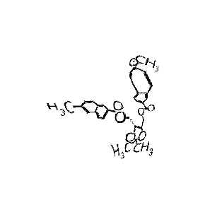 COc1ccc2cc(C(=O)OC[C@H]3OC(C)(C)O[C@@H]3COC(=O)c3ccc4cc(C)ccc4c3)ccc2c1